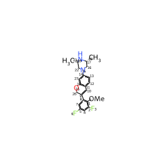 COc1c(F)cc(F)cc1C1=Cc2ccc(N3C[C@@H](C)N[C@@H](C)C3)cc2OC1